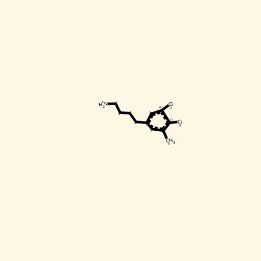 Cc1cc(CCCCN)cc(Cl)c1Cl